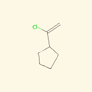 C=C(Cl)C1CCCC1